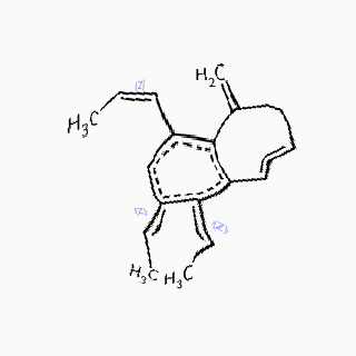 C=C1CC=Cc2c1c(/C=C\C)cc(=C/C)/c2=C\C